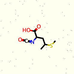 CSC(C)CC(N=C=O)C(=O)O